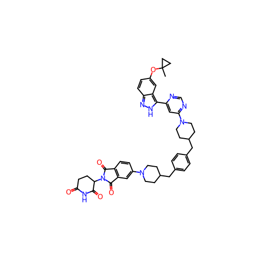 CC1(Oc2ccc3n[nH]c(-c4cc(N5CCC(Cc6ccc(CC7CCN(c8ccc9c(c8)C(=O)N(C8CCC(=O)NC8=O)C9=O)CC7)cc6)CC5)ncn4)c3c2)CC1